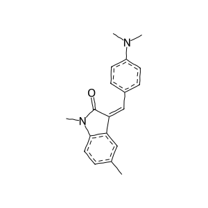 Cc1ccc2c(c1)/C(=C/c1ccc(N(C)C)cc1)C(=O)N2C